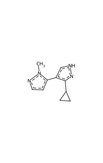 Cn1nccc1-c1c[nH]nc1C1CC1